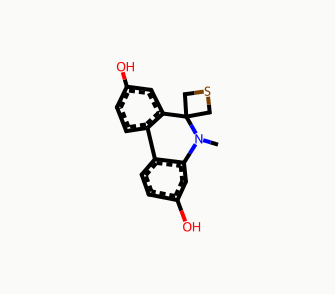 CN1c2cc(O)ccc2-c2ccc(O)cc2C12CSC2